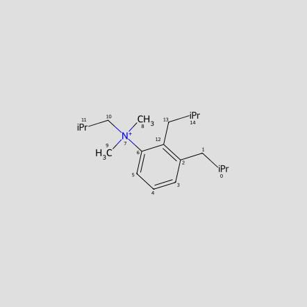 CC(C)Cc1cccc([N+](C)(C)CC(C)C)c1CC(C)C